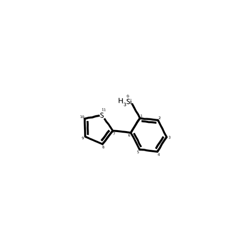 [SiH3]c1ccccc1-c1cccs1